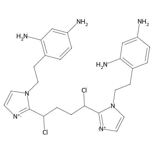 Nc1ccc(CCN2C=C[N+]=C2C(Cl)CCC(Cl)C2=[N+]C=CN2CCc2ccc(N)cc2N)c(N)c1